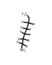 NC(F)(F)C(F)(F)C(F)(F)C(F)(F)C(F)(F)CC(F)(F)F